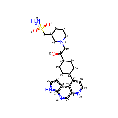 NS(=O)(=O)CC1CCCN(CC(=O)C2CCC(c3ccnc4cnc5[nH]ccc5c34)CC2)C1